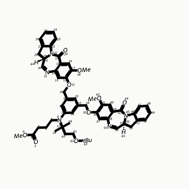 COC(=O)CCCN(c1cc(COc2cc3c(cc2OC)C(=O)N2c4ccccc4C[C@H]2C=N3)cc(COc2cc3c(cc2OC)C(=O)N2c4ccccc4C[C@H]2C=N3)c1)C(C)(C)CCOC(C)(C)C